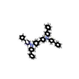 C/C=C(\C=C/Cc1ccccc1)N(c1ccc(-c2ccccc2)cc1)c1ccc(-c2ccc(N(c3ccc(-c4ccccc4)cc3)c3ccc(-c4ccccc4)cc3)cc2)cc1